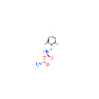 Cc1cc(C)c(CNC(=O)OC(N)=O)c(C)c1